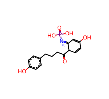 O=C(CCCc1ccc(O)cc1)C1C=CC(O)=C/C1=N\P(=O)(O)O